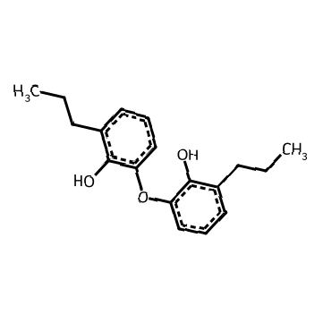 CCCc1cccc(Oc2cccc(CCC)c2O)c1O